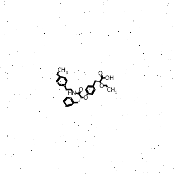 CCO[C@@H](Cc1ccc(O[C@H](Cc2ccccc2)C(=O)NCCc2ccc(CC)cc2)cc1)C(=O)O